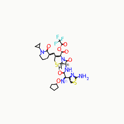 Nc1nc(/C(=N/OC2CCCC2)C(=O)N[C@@H]2C(=O)N3C(C(=O)OC(=O)C(F)(F)F)=C(C=C4CCCN(C5CC5)C4=O)CS[C@H]23)cs1